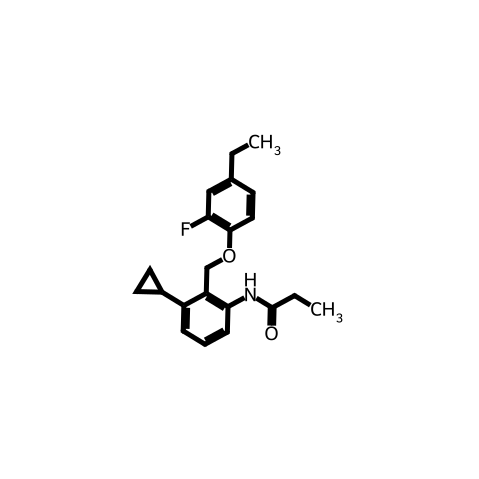 CCC(=O)Nc1cccc(C2CC2)c1COc1ccc(CC)cc1F